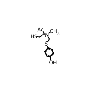 CC(=O)[C@H](CS)N(C)CSc1ccc(O)cc1